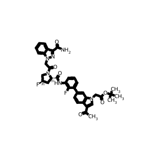 CC(=O)c1cn(CC(=O)OC(C)(C)C)c2cc(-c3cccc(NC(=O)[C@@H]4C[C@@H](F)CN4C(=O)Cn4nc(C(N)=O)c5ccccc54)c3F)ccc12